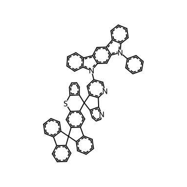 c1ccc(-n2c3ccccc3c3cc4c5ccccc5n(-c5cnc6c(c5)C5(c7ccccc7Sc7cc8c(cc75)-c5ccccc5C85c7ccccc7-c7ccccc75)c5cccnc5-6)c4cc32)cc1